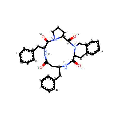 O=C1CC(Cc2ccccc2)NC(=O)C2Cc3ccccc3CN2C(=O)C2CCCN2C(=O)C(Cc2ccccc2)N1